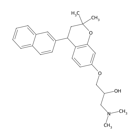 CN(C)CC(O)COc1ccc2c(c1)OC(C)(C)CC2c1ccc2ccccc2c1